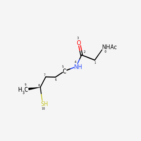 CC(=O)NCC(=O)NCCC[C@H](C)S